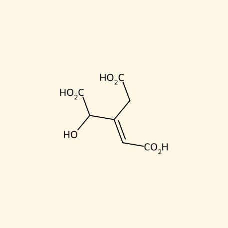 O=C(O)/C=C(\CC(=O)O)C(O)C(=O)O